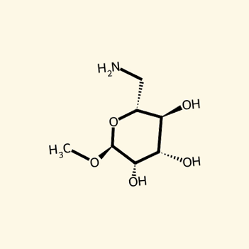 CO[C@H]1O[C@H](CN)[C@@H](O)[C@H](O)[C@@H]1O